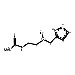 CNC(=S)NCC[S+]([O-])Cc1ccsn1